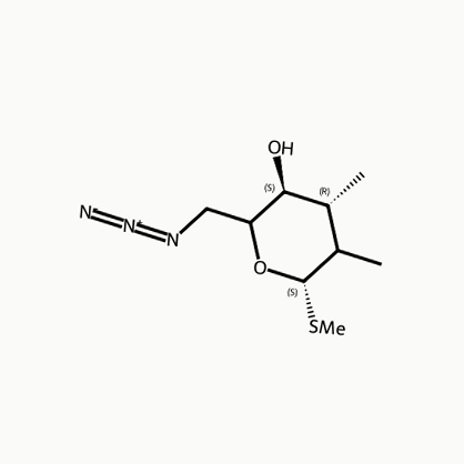 CS[C@@H]1OC(CN=[N+]=[N-])[C@@H](O)[C@H](C)C1C